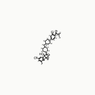 Cc1cc(Cl)cc(C(O)(C(=O)N2CCC(CC3CCN(c4ccc(C(=O)N(C)C)c(Cl)c4)CC3)CC2)C(F)(F)F)c1